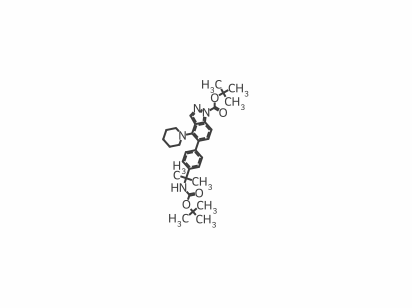 CC(C)(C)OC(=O)NC(C)(C)c1ccc(-c2ccc3c(cnn3C(=O)OC(C)(C)C)c2N2CCCCC2)cc1